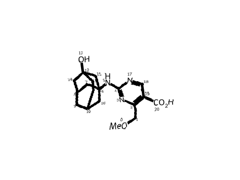 COCc1nc(NC23CC4CC(CC(O)(C4)C2)C3)ncc1C(=O)O